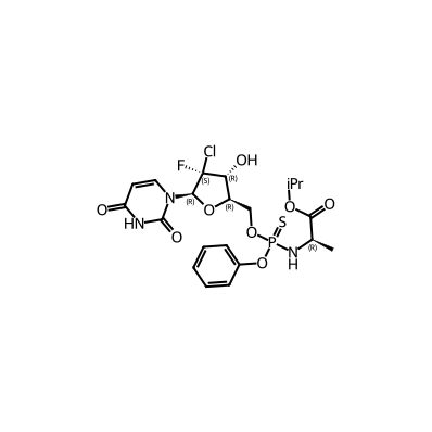 CC(C)OC(=O)[C@@H](C)NP(=S)(OC[C@H]1O[C@@H](n2ccc(=O)[nH]c2=O)[C@@](F)(Cl)[C@@H]1O)Oc1ccccc1